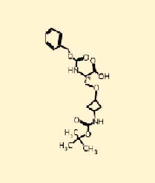 CC(C)(C)OC(=O)NC1CC(OC[C@H](NC(=O)OCc2ccccc2)C(=O)O)C1